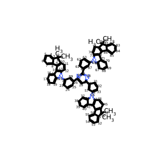 CC1(C)c2ccccc2-c2c1ccc1c2c2ccccc2n1-c1cccc(-c2cc(-c3cccc(-n4c5ccccc5c5c6c(ccc54)C(C)(C)c4ccccc4-6)c3)nc(-c3cccc(-n4c5ccccc5c5c6c(ccc54)C(C)(C)c4ccccc4-6)c3)n2)c1